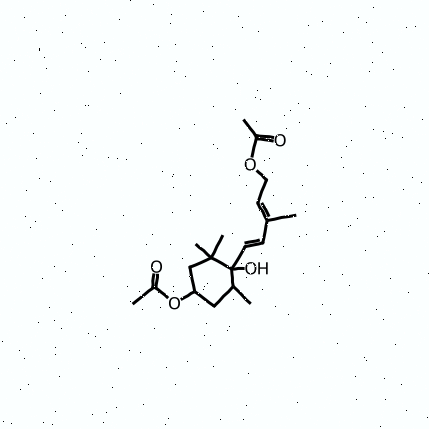 CC(=O)OCC=C(C)C=CC1(O)C(C)CC(OC(C)=O)CC1(C)C